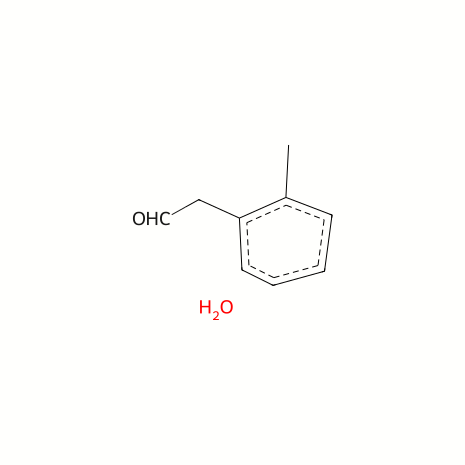 Cc1ccccc1CC=O.O